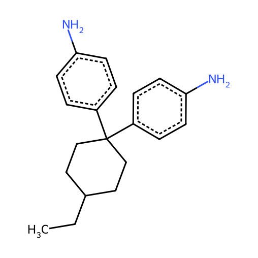 CCC1CCC(c2ccc(N)cc2)(c2ccc(N)cc2)CC1